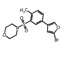 Cc1ccc(-c2coc(Br)c2)cc1S(=O)(=O)N1CCOCC1